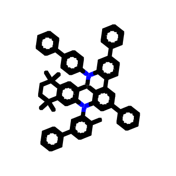 Cc1ccc(-c2ccccc2)cc1N1c2cc3c(cc2B2c4c(cc(-c5ccccc5)cc41)-c1ccc(-c4ccccc4)cc1N2c1ccc(-c2ccccc2)cc1)C(C)(C)CCC3(C)C